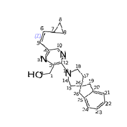 OCc1nc(/C=C\C2CC2)cnc1N1CCC2(CC1)Cc1ccccc1C2